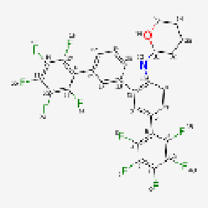 Fc1c(F)c(F)c(-c2ccc3c(c2)c2cc(-c4c(F)c(F)c(F)c(F)c4F)ccc2n3C2CCCCO2)c(F)c1F